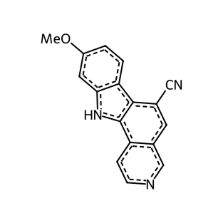 COc1ccc2c(c1)[nH]c1c3ccncc3cc(C#N)c21